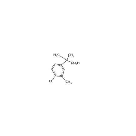 CCc1ccc(C(C)(C)C(=O)O)cc1C